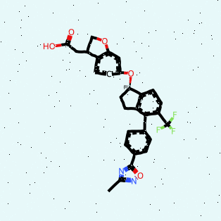 Cc1noc(-c2ccc(-c3c(C(F)(F)F)ccc4c3CC[C@H]4Oc3ccc4c(c3)OCC4CC(=O)O)cc2)n1